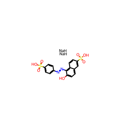 O=S(=O)(O)c1ccc(/N=N/c2c(O)ccc3cc(S(=O)(=O)O)ccc23)cc1.[NaH].[NaH]